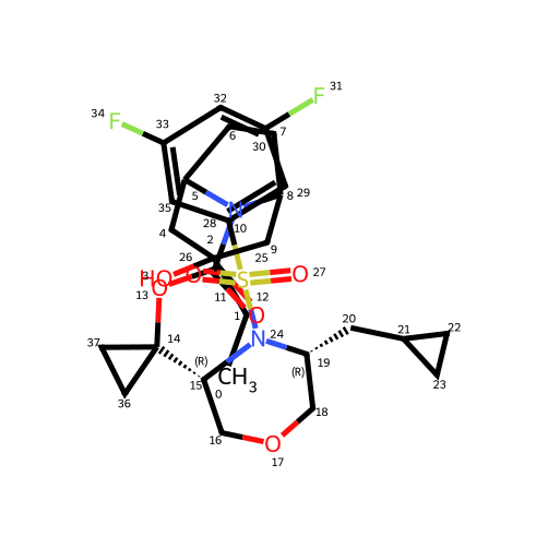 CCC1(O)CC2CCC(C1)N2C(=O)OC1([C@H]2COC[C@@H](CC3CC3)N2S(=O)(=O)c2cc(F)cc(F)c2)CC1